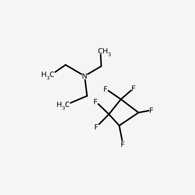 CCN(CC)CC.FC1C(F)C(F)(F)C1(F)F